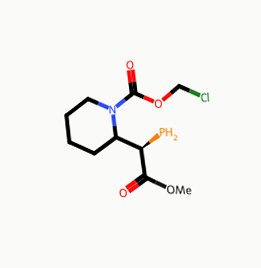 COC(=O)[C@H](P)C1CCCCN1C(=O)OCCl